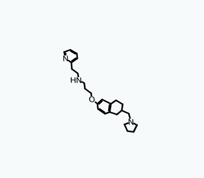 c1ccc(CCNCCCOc2ccc3c(c2)CCC(CN2CCCC2)C3)nc1